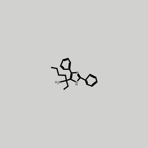 CCCCC(N)(CC)c1[nH]c(-c2ccccc2)nc1-c1ccccc1